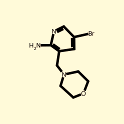 Nc1ncc(Br)cc1CN1CCOCC1